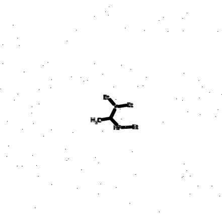 CCPC(C)P(CC)CC